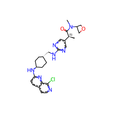 C[C@H](C(=O)N(C)C1COC1)c1cnc(NC[C@H]2CC[C@H](Nc3ccc4ccnc(Cl)c4n3)CC2)nc1